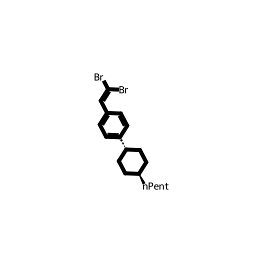 CCCCC[C@H]1CC[C@H](c2ccc(C=C(Br)Br)cc2)CC1